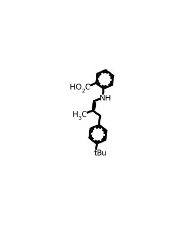 CC(=CNc1ccccc1C(=O)O)Cc1ccc(C(C)(C)C)cc1